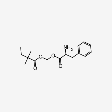 CCC(C)(C)C(=O)OCOC(=O)C(N)Cc1ccccc1